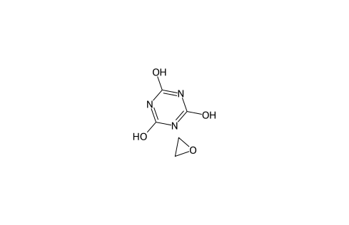 C1CO1.Oc1nc(O)nc(O)n1